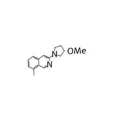 CO[C@H]1CCN(c2cc3cccc(C)c3cn2)C1